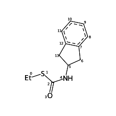 CCSC(=O)NC1Cc2ccccc2C1